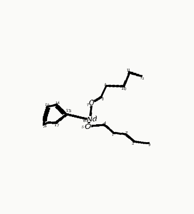 CCCCC[O][Nd]([O]CCCCC)[C]1=CC=CC1